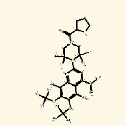 [2H]c1c(OC([2H])([2H])[2H])c(OC([2H])([2H])[2H])c([2H])c2c(N([2H])[2H])nc(N3C([2H])([2H])CN(C(=O)C4CCCO4)CC3([2H])[2H])nc12